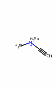 C#CN[SiH3].[PoH2]